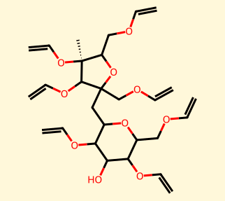 C=COCC1OC(CC2(COC=C)OC(COC=C)[C@](C)(OC=C)C2OC=C)C(OC=C)C(O)C1OC=C